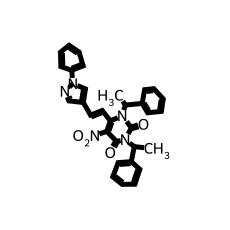 CC(c1ccccc1)n1c(C=Cc2cnn(-c3ccccc3)c2)c([N+](=O)[O-])c(=O)n(C(C)c2ccccc2)c1=O